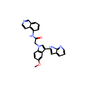 COc1ccc2c(c1)c(-c1cc3cccnc3[nH]1)cn2CC(=O)Nc1cccc2cnccc12